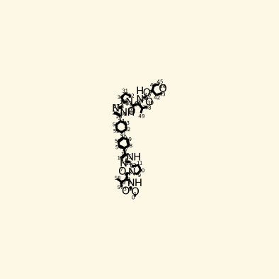 COC(=O)N[C@H](C(=O)N1CCC[C@H]1c1ncc(-c2ccc([C@H]3CC[C@H](c4cnc([C@@H]5CCCN5C(=O)[C@@H](NC(=O)OC5CCOCC5)C(C)C)[nH]4)CC3)cc2)[nH]1)C(C)C